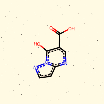 O=C(O)c1cnc2ccnn2c1O